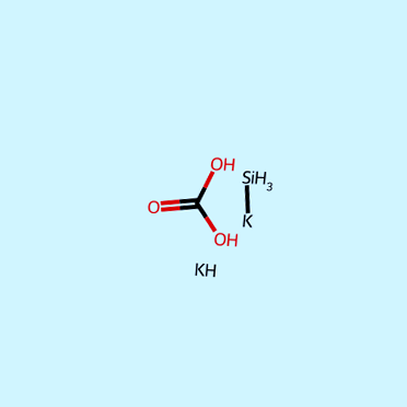 O=C(O)O.[KH].[SiH3][K]